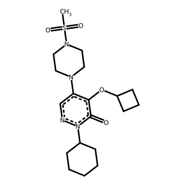 CS(=O)(=O)N1CCN(c2cnn(C3CCCCC3)c(=O)c2OC2CCC2)CC1